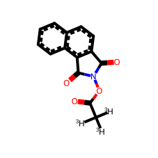 [3H]C([3H])([3H])C(=O)ON1C(=O)c2ccc3ccccc3c2C1=O